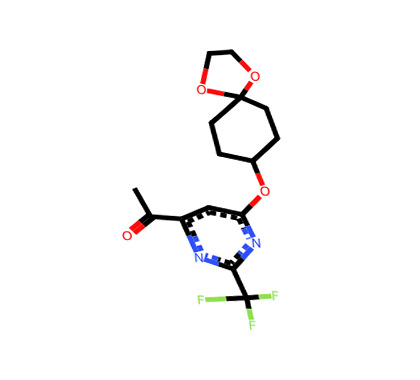 CC(=O)c1cc(OC2CCC3(CC2)OCCO3)nc(C(F)(F)F)n1